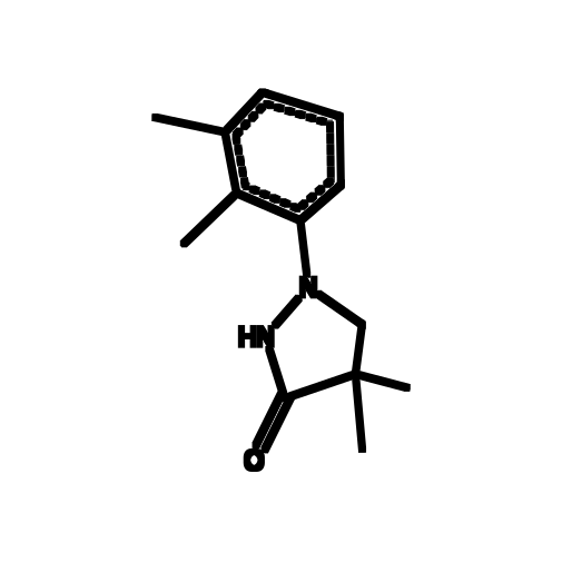 Cc1cccc(N2CC(C)(C)C(=O)N2)c1C